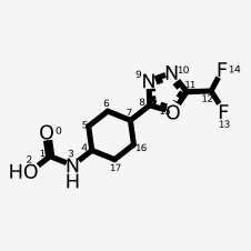 O=C(O)NC1CCC(c2nnc(C(F)F)o2)CC1